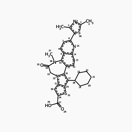 Cc1nc(C)c(-c2ccc3c4c(ccc3n2)-c2c(C3CCCCC3)c3sc(C(=O)O)cc3n2CC(=O)N4C)s1